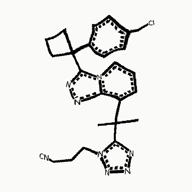 [C-]#[N+]CCn1nnnc1C(C)(C)c1cccn2c(C3(c4ccc(Cl)cc4)CCC3)nnc12